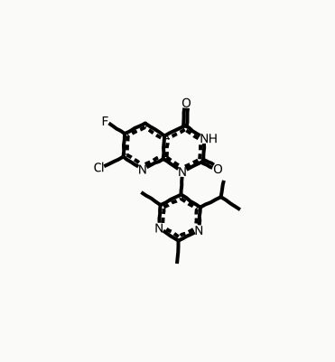 Cc1nc(C)c(-n2c(=O)[nH]c(=O)c3cc(F)c(Cl)nc32)c(C(C)C)n1